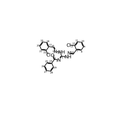 O=C(N=C(NN=Cc1ccccc1Cl)NN=Cc1ccccc1Cl)c1ccccc1